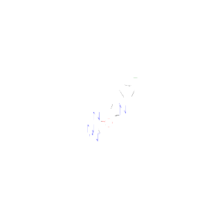 CC(c1ccnc(-c2ccc(F)cc2)c1)N(C(=O)c1cn(C)cn1)C1CCC1